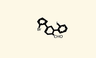 O=CC1CC=C(c2ccccc2Br)CC1c1ccccc1I